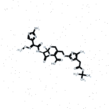 CON=C(C(=O)N[C@@H]1C(=O)N2C(C(=O)O)=C(CSc3nc(C)c(CC(=O)OC(C)(C)C)s3)CS[C@@H]12)c1csc(N)n1